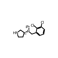 CC(C)N(Cc1cccc(Cl)c1Cl)[C@H]1CCNC1